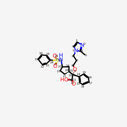 Cc1nccn1CCCO[C@@](C(=O)O)(c1ccccc1)[C@H]1CCC(NS(=O)(=O)c2ccccc2)C1